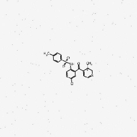 Cc1ccc(S(=O)(=O)Nc2ccc(Cl)cc2C(=O)C2=CC=NC[C@H]2C)cc1